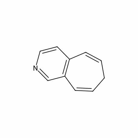 C1=Cc2ccncc2C=CC1